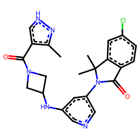 Cc1n[nH]cc1C(=O)N1CC(Nc2cncc(N3C(=O)c4ccc(Cl)cc4C3(C)C)c2)C1